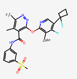 COc1c(Oc2nnc(C(F)(F)F)c(C)c2C(=O)Nc2cccc(S(C)(=O)=O)c2)ncc(C2(F)CCC2)c1F